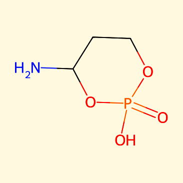 NC1CCOP(=O)(O)O1